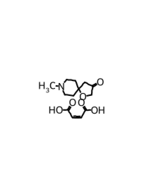 CN1CCC2(CC1)CC(=O)CO2.O=C(O)/C=C\C(=O)O